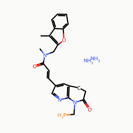 Cc1c(CN(C)C(=O)C=Cc2cnc3c(c2)CCC(=O)N3CP)oc2ccccc12.N.N